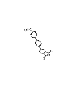 O=Cc1ccc(-c2ccc(-c3ccc4c(c3)C(=O)OC4=O)cc2)cc1